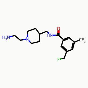 NCCN1CCC(CNC(=O)c2cc(CF)cc(C(F)(F)F)c2)CC1